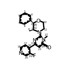 C[C@H]1[C@@H](c2ccccc2)OCCN1c1nc(-c2ccncc2F)cc(=O)n1C